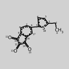 CCc1ccc(-c2ccc3c(=O)c(=O)c(=O)c3c2)s1